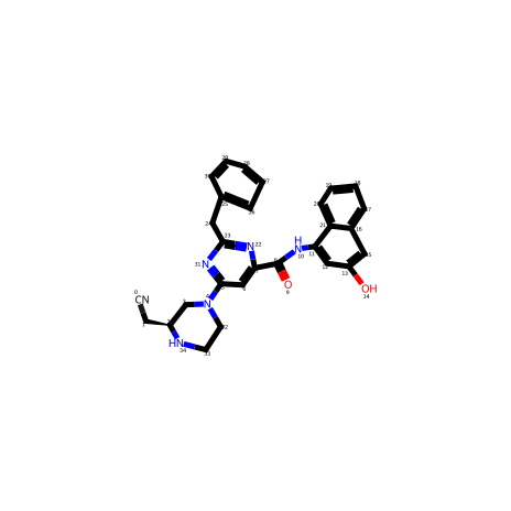 N#CC[C@H]1CN(c2cc(C(=O)Nc3cc(O)cc4ccccc34)nc(Cc3ccccc3)n2)CCN1